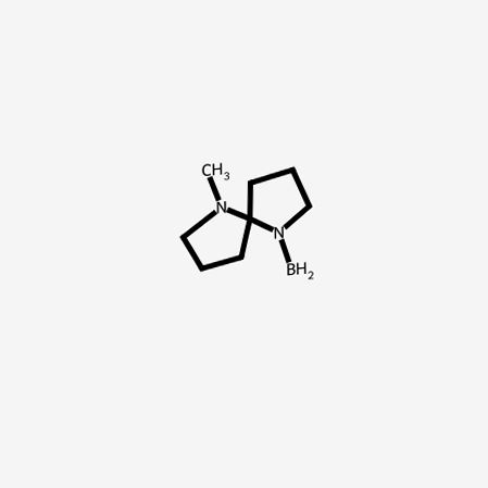 BN1CCCC12CCCN2C